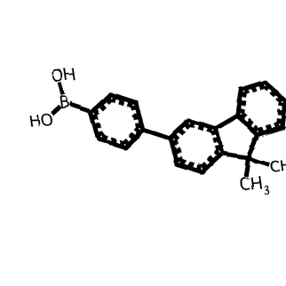 CC1(C)c2ccccc2-c2cc(-c3ccc(B(O)O)cc3)ccc21